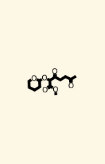 COC(=O)C(OC1CCCCO1)C(=O)CCC(C)=O